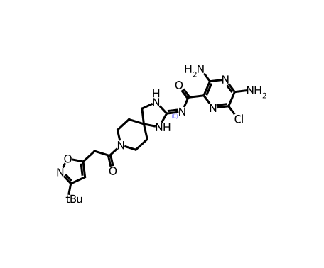 CC(C)(C)c1cc(CC(=O)N2CCC3(CC2)CN/C(=N\C(=O)c2nc(Cl)c(N)nc2N)N3)on1